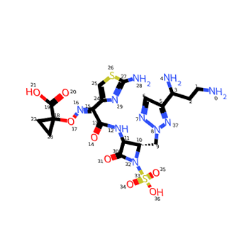 NCCC(N)c1cnn(C[C@H]2C(NC(=O)/C(=N\OC3(C(=O)O)CC3)c3csc(N)n3)C(=O)N2S(=O)(=O)O)n1